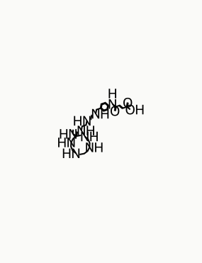 CNC1(CNCCNCCNCc2ccc(NC(=O)/C=C/C(=O)O)cc2)CNCCNCCCNCCNC1